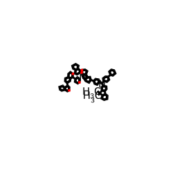 CC1(C)c2ccccc2-c2ccc(N(c3ccc(-c4ccccc4)cc3)c3ccc(-c4ccc5c(c4)c4ccccc4n5-c4cccc(-c5c(-c6cccc7ccccc67)ccc6ccc(-c7cccc8ccccc78)cc56)c4)cc3)cc21